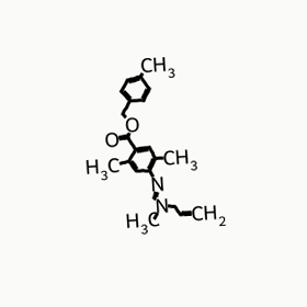 C=CCN(C)/C=N/c1cc(C)c(C(=O)OCc2ccc(C)cc2)cc1C